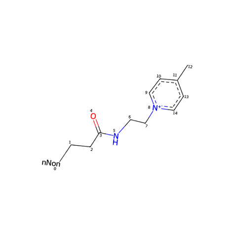 CCCCCCCCCCCC(=O)NCC[n+]1ccc(C)cc1